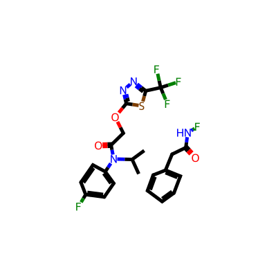 CC(C)N(C(=O)COc1nnc(C(F)(F)F)s1)c1ccc(F)cc1.O=C(Cc1ccccc1)NF